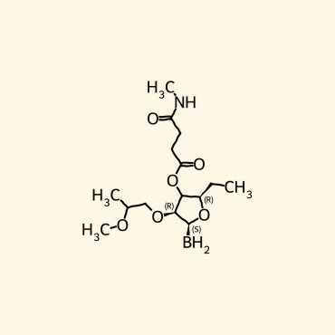 B[C@@H]1O[C@H](CC)C(OC(=O)CCC(=O)NC)[C@@H]1OCC(C)OC